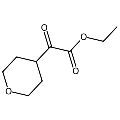 CCOC(=O)C(=O)C1CCOCC1